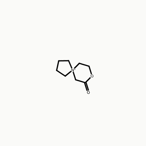 O=C1C[N+]2(CCCC2)CCO1